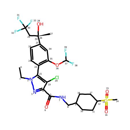 CCn1nc(C(=O)NCC2CCC(S(C)(=O)=O)CC2)c(Cl)c1-c1ccc([C@@](C)(O)CC(F)(F)F)cc1OC(F)F